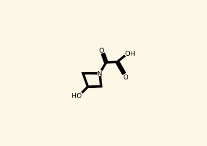 O=C(O)C(=O)N1CC(O)C1